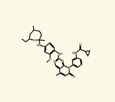 CCC1CC(C)CCC(C)(Nc2ccc(Nc3ncc4c(C)cc(=O)n(-c5cccc(NC(=O)C6CC6)c5)c4n3)c(OC)c2)C1